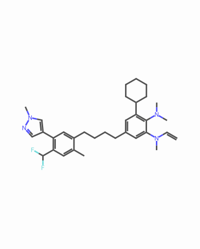 C=CN(C)c1cc(CCCCc2cc(-c3cnn(C)c3)c(C(F)F)cc2C)cc(C2CCCCC2)c1N(C)C